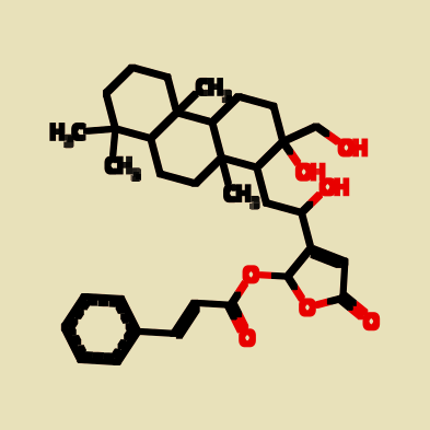 CC1(C)CCCC2(C)C1CCC1(C)C(CC(O)C3=CC(=O)OC3OC(=O)/C=C/c3ccccc3)C(O)(CO)CCC21